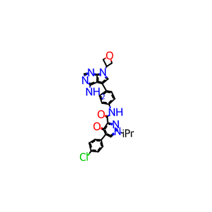 CC(C)n1cc(-c2ccc(Cl)cc2)c(=O)c(C(=O)Nc2ccc(-c3cn(C4COC4)c4ncnc(N)c34)cc2)n1